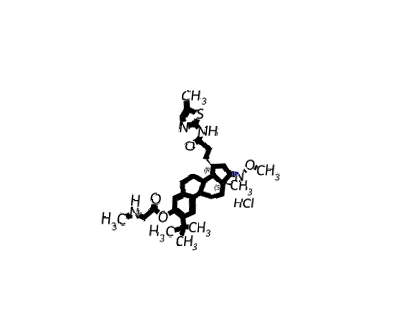 CNCC(=O)Oc1cc2c(cc1C(C)(C)C)C1CC[C@]3(C)/C(=N/OC)C[C@@H](CCC(=O)Nc4ncc(C)s4)C3C1CC2.Cl